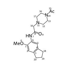 COc1cc2c(cc1NC(=O)CN1CCN(C(C)=O)CC1)CCC2